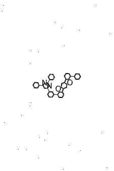 c1ccc(-c2cc(-c3cccc(-c4cccc5c4oc4cc6c(cc45)oc4c(-c5ccccc5)cccc46)c3)nc(-c3ccccc3)n2)cc1